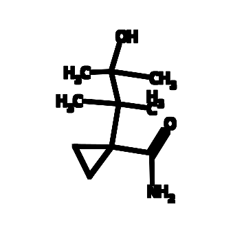 CC(C)(O)C(C)(C)C1(C(N)=O)CC1